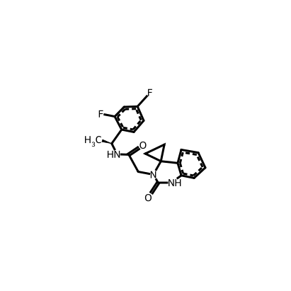 C[C@H](NC(=O)CN1C(=O)Nc2ccccc2C12CC2)c1ccc(F)cc1F